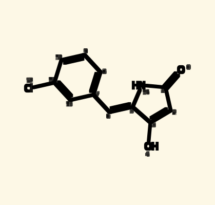 O=C1C=C(O)/C(=C/c2cccc(Cl)c2)N1